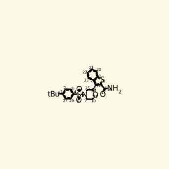 CC(C)(C)c1ccc(S(=O)(=O)N2CCO[C@H](c3c(C(N)=O)sc4ccccc34)C2)cc1